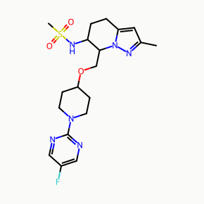 Cc1cc2n(n1)C(COC1CCN(c3ncc(F)cn3)CC1)C(NS(C)(=O)=O)CC2